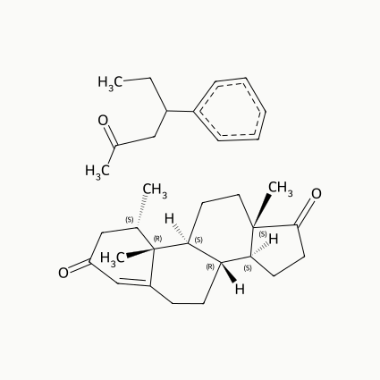 CCC(CC(C)=O)c1ccccc1.C[C@H]1CC(=O)C=C2CC[C@@H]3[C@H](CC[C@]4(C)C(=O)CC[C@@H]34)[C@]21C